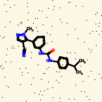 CC(C)c1ccc(NC(=O)Nc2cccc(-c3c(C#N)cnn3C)c2)cc1